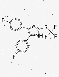 Fc1ccc(-c2cc(SC(F)(F)F)[nH]c2-c2ccc(F)cc2)cc1